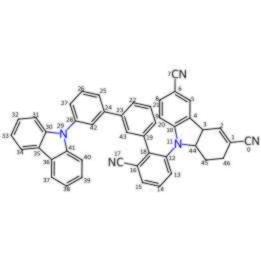 N#CC1=CC2c3cc(C#N)ccc3N(c3cccc(C#N)c3-c3cccc(-c4cccc(-n5c6ccccc6c6ccccc65)c4)c3)C2CC1